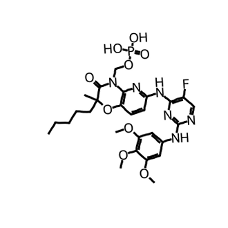 CCCCCC1(C)Oc2ccc(Nc3nc(Nc4cc(OC)c(OC)c(OC)c4)ncc3F)nc2N(COP(=O)(O)O)C1=O